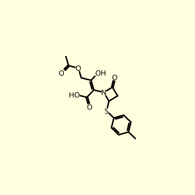 CC(=O)OCC(O)=C(C(=O)O)N1C(=O)CC1Sc1ccc(C)cc1